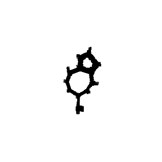 OC1CCOc2cscc2OC1